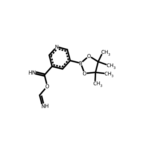 CC1(C)OB(c2cncc(C(=N)OC=N)c2)OC1(C)C